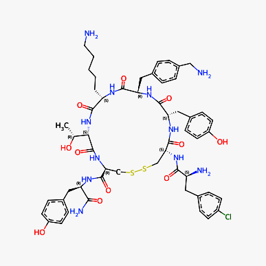 C[C@@H](O)[C@@H]1NC(=O)[C@H](CCCCCN)NC(=O)[C@@H](Cc2ccc(CN)cc2)NC(=O)[C@H](Cc2ccc(O)cc2)NC(=O)[C@H](NC(=O)[C@@H](N)Cc2ccc(Cl)cc2)CSSC[C@@H](C(=O)N[C@H](Cc2ccc(O)cc2)C(N)=O)NC1=O